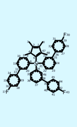 CC1=C(C)C(C)C([Si](c2cccc(-c3ccc(F)cc3)c2)(c2cccc(-c3ccc(F)cc3)c2)c2cccc(-c3ccc(F)cc3)c2)=C1C